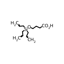 C=CC[Si](CC=C)(CC=C)OCCCC(=O)O